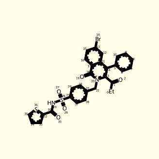 CCC(=O)c1c(-c2ccccc2)c2cc(Br)ccc2c(=O)n1Cc1ccc(S(=O)(=O)NC(=O)c2cccs2)cc1